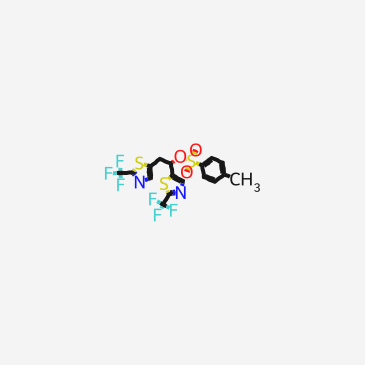 Cc1ccc(S(=O)(=O)OC(Cc2cnc(C(F)(F)F)s2)c2cnc(C(F)(F)F)s2)cc1